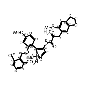 C=C(Cc1cc2c(cc1OC)CCO2)C(=O)Oc1cnn(CCCC)c1-c1ccc(OC)cc1OCc1c(Cl)cccc1C(=O)O